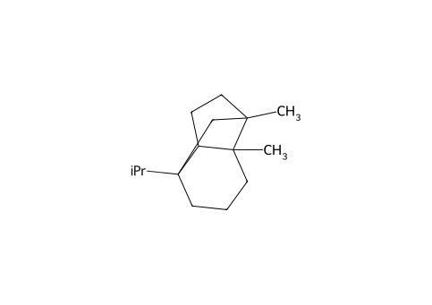 CC(C)C12CCCC3(C)C1CCC3(C)C2